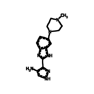 CN1CCN(c2ccc3nc(-c4n[nH]cc4N)[nH]c3c2)CC1